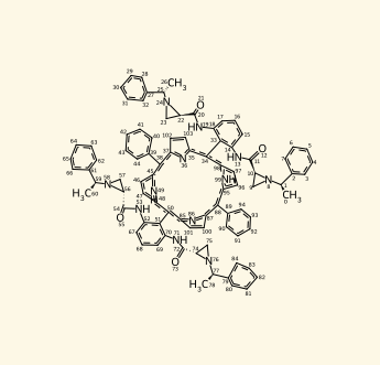 C[C@H](c1ccccc1)N1C[C@H]1C(=O)Nc1cccc(NC(=O)[C@H]2CN2[C@@H](C)c2ccccc2)c1-c1c2nc(c(-c3ccccc3)c3ccc([nH]3)c(-c3c(NC(=O)[C@H]4CN4[C@@H](C)c4ccccc4)cccc3NC(=O)[C@@H]3CN3[C@H](C)c3ccccc3)c3nc(c(-c4ccccc4)c4ccc1[nH]4)C=C3)C=C2